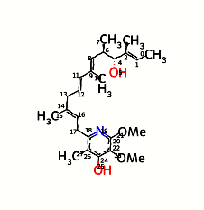 C/C=C(\C)[C@H](O)[C@H](C)/C=C(C)/C=C/C/C(C)=C/Cc1nc(OC)c(OC)c(O)c1C